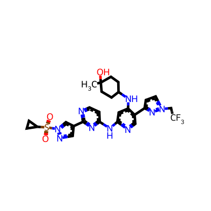 CC1(O)CCC(Nc2cc(Nc3ccnc(-c4cnn(S(=O)(=O)C5CC5)c4)n3)ncc2-c2ccn(CC(F)(F)F)n2)CC1